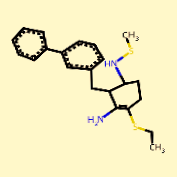 CCSC1=C(N)C(Cc2cccc(-c3ccccc3)c2)C(NSC)CC1